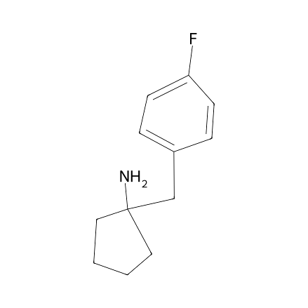 NC1(Cc2ccc(F)cc2)CCCC1